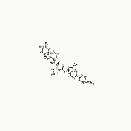 CC(=O)c1cn(CC(=O)N2C[C@H](F)C[C@H]2C(=O)Nc2cccc(-c3cc(F)c(F)cc3Cl)c2F)c2ccc(-c3cnc(C)nc3)cc12